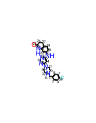 C[C@@H](c1ccc(F)cc1)N1CCN(c2cc(Nc3ccc4c(c3)NC(=O)CC4)ncn2)CC1